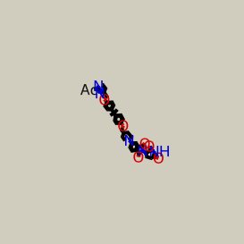 CC(=O)c1nccc(COc2ccc(C(C)(C)c3ccc(OCC4CCN(c5ccc6c(c5)C(=O)N(C5CCC(=O)NC5=O)C6=O)CC4)cc3)cc2)n1